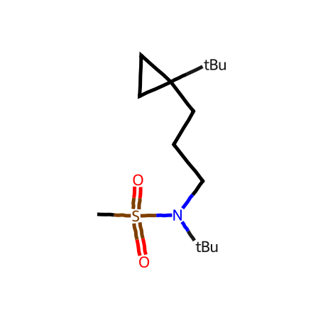 CC(C)(C)N(CCCC1(C(C)(C)C)CC1)S(C)(=O)=O